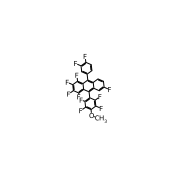 COc1c(F)c(F)c(-c2c3cc(F)ccc3c(-c3ccc(F)c(F)c3)c3c(F)c(F)c(F)c(F)c23)c(F)c1F